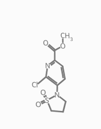 COC(=O)c1ccc(N2CCCS2(=O)=O)c(Cl)n1